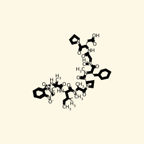 CC[C@H](C)[C@H](NC(=O)C(C)(C)NS(=O)(=O)c1ccccc1[N+](=O)[O-])C(=O)N(C)[C@@H](C)C(=O)N1CC[C@H]1C(=O)N(C)[C@@H](CC1CCCCC1)C(=O)N(C)CC(=O)N[C@@H](CC(=O)O)C(=O)N1CCCC1